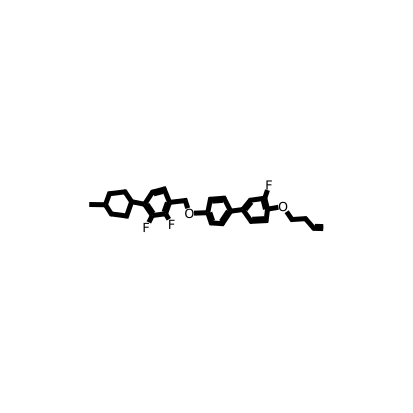 C=CCCOc1ccc(-c2ccc(OCc3ccc(C4CCC(C)CC4)c(F)c3F)cc2)cc1F